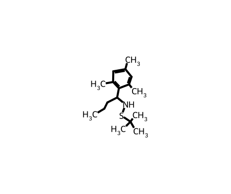 CCCC(NSC(C)(C)C)c1c(C)cc(C)cc1C